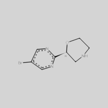 Brc1cnc([C@@H]2CNCCO2)nc1